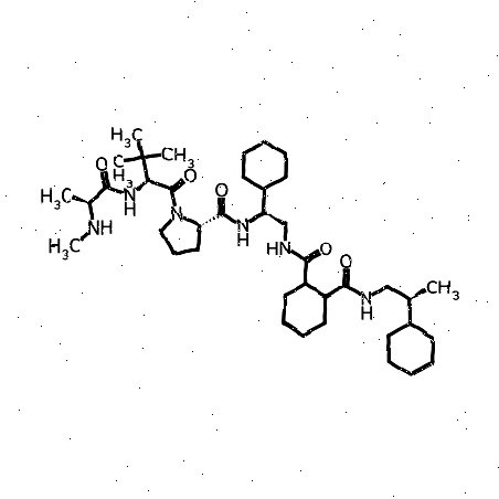 CN[C@@H](C)C(=O)N[C@H](C(=O)N1CCC[C@H]1C(=O)N[C@H](CNC(=O)C1CCCCC1C(=O)NC[C@@H](C)C1CCCCC1)C1CCCCC1)C(C)(C)C